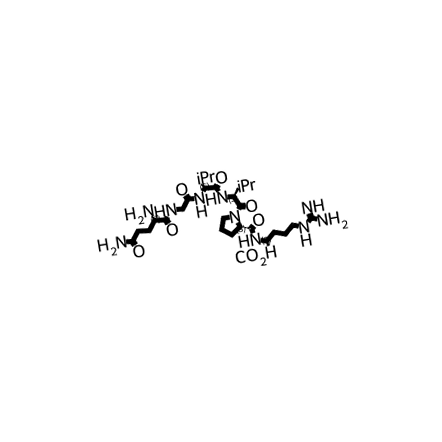 CC(C)[C@H](NC(=O)CNC(=O)[C@@H](N)CCC(N)=O)C(=O)N[C@H](C(=O)N1CCC[C@H]1C(=O)N[C@@H](CCCNC(=N)N)C(=O)O)C(C)C